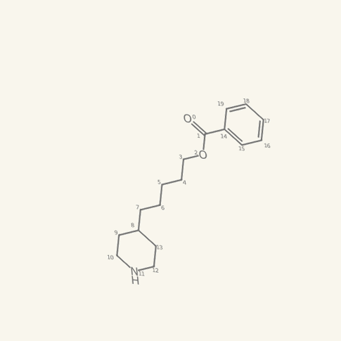 O=C(OCCCCCC1CCNCC1)c1ccccc1